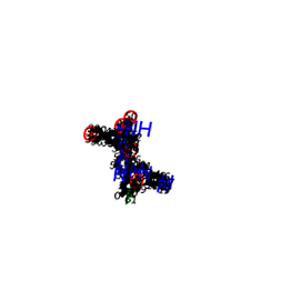 Cc1cc(-c2nn3c(c2-n2ccn(C4=CC5C=NN(C)C5C=C4)c2=O)[C@H](C)N(C(=O)c2cc4cc(C5CCOCC5)ccc4n2[C@@]2(c4noc(=O)[nH]4)C[C@@H]2C)CC3)cc(C)c1F